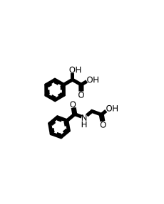 O=C(O)C(O)c1ccccc1.O=C(O)CNC(=O)c1ccccc1